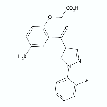 Bc1ccc(OCC(=O)O)c(C(=O)C2C=NN(c3ccccc3F)C2)c1